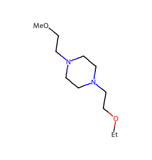 CCOCCN1CCN(CCOC)CC1